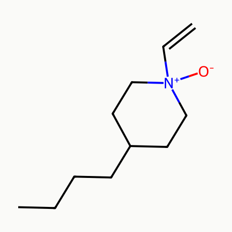 C=C[N+]1([O-])CCC(CCCC)CC1